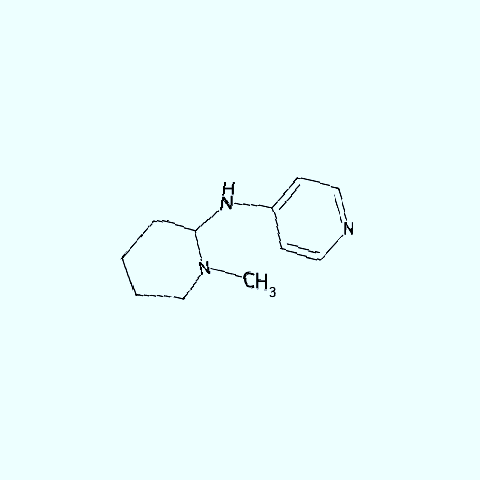 CN1CCCCC1Nc1ccncc1